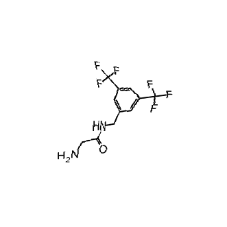 NCC(=O)NCc1cc(C(F)(F)F)cc(C(F)(F)F)c1